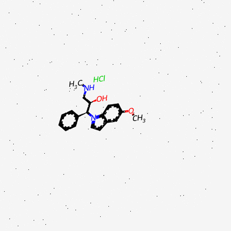 CNC[C@@H](O)[C@H](c1ccccc1)n1ccc2cc(OC)ccc21.Cl